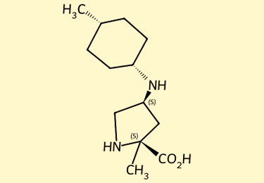 C[C@@]1(C(=O)O)C[C@H](N[C@H]2CC[C@@H](C)CC2)CN1